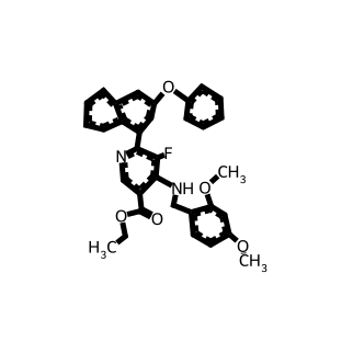 CCOC(=O)c1cnc(-c2cc(Oc3ccccc3)cc3ccccc23)c(F)c1NCc1ccc(OC)cc1OC